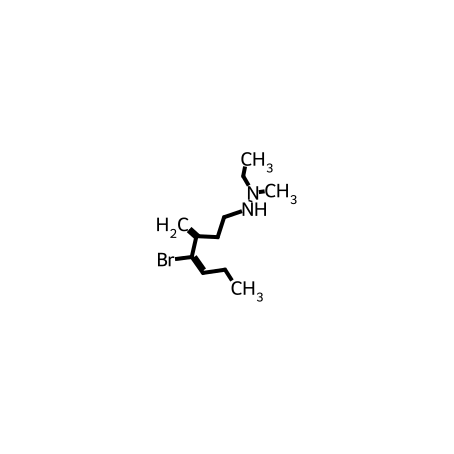 C=C(CCNN(C)CC)/C(Br)=C\CC